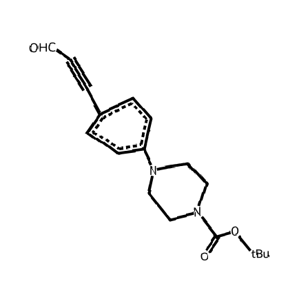 CC(C)(C)OC(=O)N1CCN(c2ccc(C#CC=O)cc2)CC1